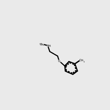 Cc1cccc(OCCNC(C)(C)C)c1